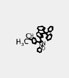 CC(C)c1ccc(-c2c(-c3ccc4c(c3)C(c3ccccc3)(c3ccccc3)c3ccccc3-4)nc3oc4ccccc4n23)cc1